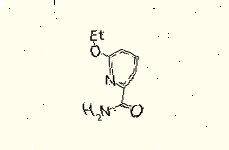 CCOc1cccc(C(N)=O)n1